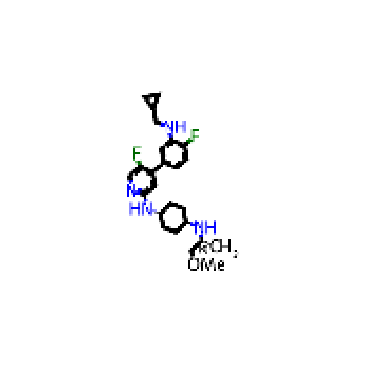 COC[C@@H](C)N[C@H]1CC[C@H](Nc2cc(-c3ccc(F)c(NCC4CC4)c3)c(F)cn2)CC1